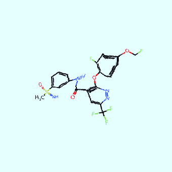 CS(=N)(=O)c1cccc(NC(=O)c2cc(C(F)(F)F)nnc2Oc2ccc(OCF)cc2F)c1